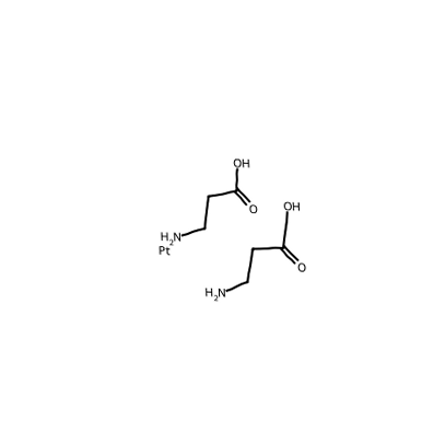 NCCC(=O)O.NCCC(=O)O.[Pt]